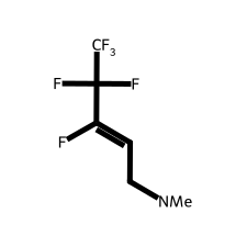 CNCC=C(F)C(F)(F)C(F)(F)F